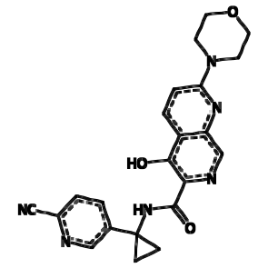 N#Cc1ccc(C2(NC(=O)c3ncc4nc(N5CCOCC5)ccc4c3O)CC2)cn1